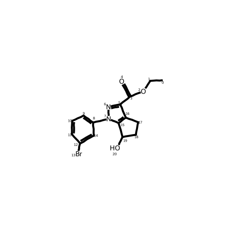 CCOC(=O)c1nn(-c2cccc(Br)c2)c2c1CCC2O